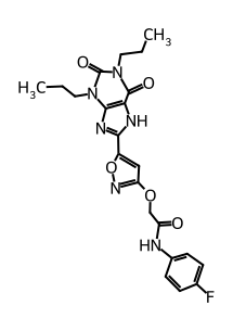 CCCn1c(=O)c2[nH]c(-c3cc(OCC(=O)Nc4ccc(F)cc4)no3)nc2n(CCC)c1=O